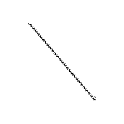 C=CC(=O)OCCOCCOCCOCCOCCOCCOCCOCCOCCOCCOCCOCCOCCOCCOCCOCCOCCOCCOCCOCCOCCOCCOCCOCCOCCOCCBr